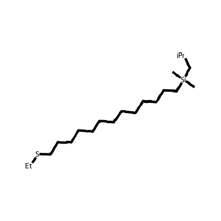 CCSCCCCCCCCCCCCC[Si](C)(C)CC(C)C